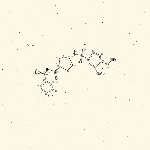 COc1cc(S(=O)(=O)N[C@H]2CC[C@H](C(=O)N[C@H](C)c3ccc(F)cc3)CC2)ccc1OC(C)C